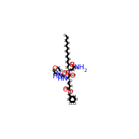 CCCCCCCCCCCCC[C@@H](CC(N)=O)OC(=O)[C@H](CCCC(=O)OCc1ccccc1)NC(=O)NN1CCOCC1